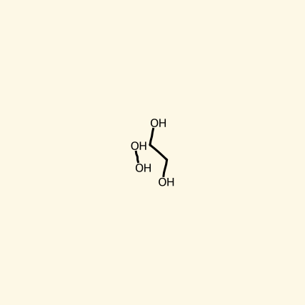 OCCO.OO